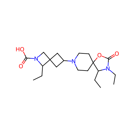 CCC1N(C(=O)O)CC12CC(N1CCC3(CC1)OC(=O)N(CC)C3CC)C2